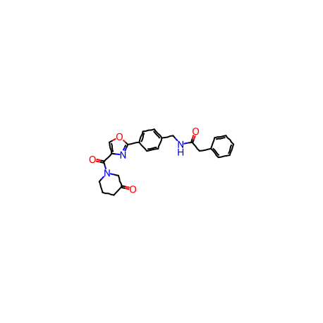 O=C1CCCN(C(=O)c2coc(-c3ccc(CNC(=O)Cc4ccccc4)cc3)n2)C1